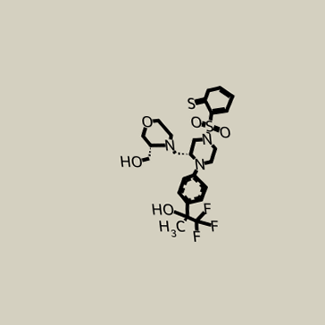 C[C@@](O)(c1ccc(N2CCN(S(=O)(=O)C3=CC=CCC3=S)C[C@H]2CN2CCOC[C@H]2CO)cc1)C(F)(F)F